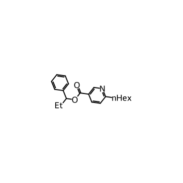 CCCCCCc1ccc(C(=O)OC(CC)c2ccccc2)cn1